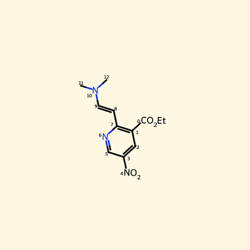 CCOC(=O)c1cc([N+](=O)[O-])cnc1/C=C/N(C)C